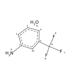 Nc1cccc(C(F)(F)F)c1.O